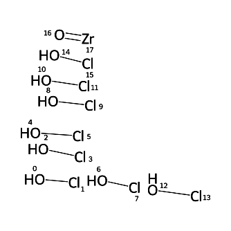 OCl.OCl.OCl.OCl.OCl.OCl.OCl.OCl.[O]=[Zr]